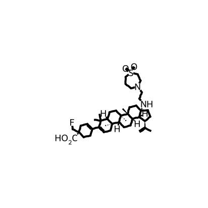 C=C(C)[C@@H]1CC[C@]2(NCCN3CCCS(=O)(=O)CC3)CC[C@]3(C)[C@H](CC[C@@H]4[C@@]5(C)CC=C(C6=CC[C@](CF)(C(=O)O)CC6)C(C)(C)[C@@H]5CC[C@]43C)[C@@H]12